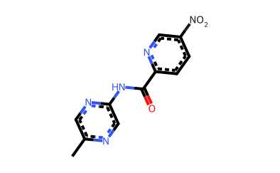 Cc1cnc(NC(=O)c2ccc([N+](=O)[O-])cn2)cn1